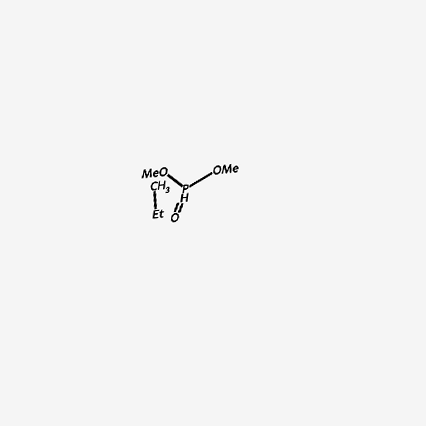 CCC.CO[PH](=O)OC